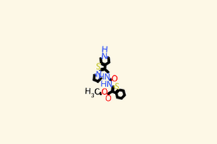 CCOC(=O)c1c(NC(=O)NCc2c(N3CCCC3)sc3c2CCNC3)sc2c1CCCC2